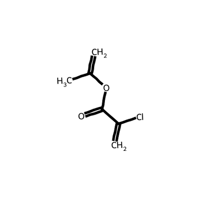 C=C(C)OC(=O)C(=C)Cl